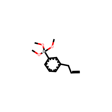 C=CCc1cccc([Si](OC)(OC)OC)c1